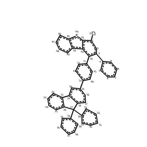 Clc1cc(-c2ccccc2)c(-c2ccc(-c3ccc4c(c3)-c3ccccc3C4(c3ccccc3)c3ccccc3)cc2)c2c1sc1ccccc12